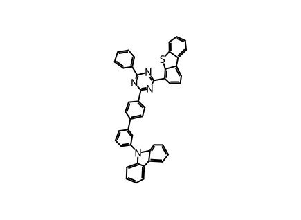 c1ccc(-c2nc(-c3ccc(-c4cccc(-n5c6ccccc6c6ccccc65)c4)cc3)nc(-c3cccc4c3sc3ccccc34)n2)cc1